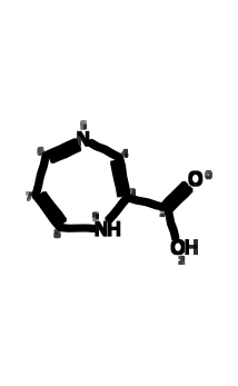 O=C(O)C1=CN=CC=CN1